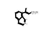 CCOC(=O)C=C(C)c1cccc2ccncc12